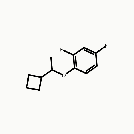 CC(Oc1ccc(F)cc1F)C1CCC1